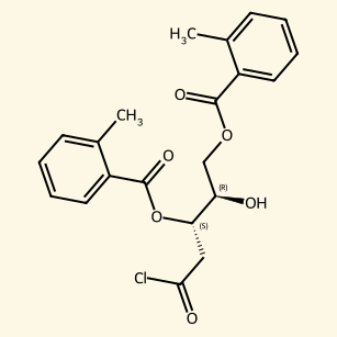 Cc1ccccc1C(=O)OC[C@@H](O)[C@H](CC(=O)Cl)OC(=O)c1ccccc1C